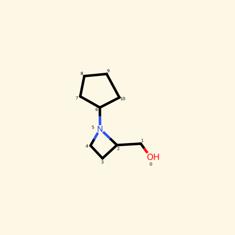 OCC1CCN1C1CCCC1